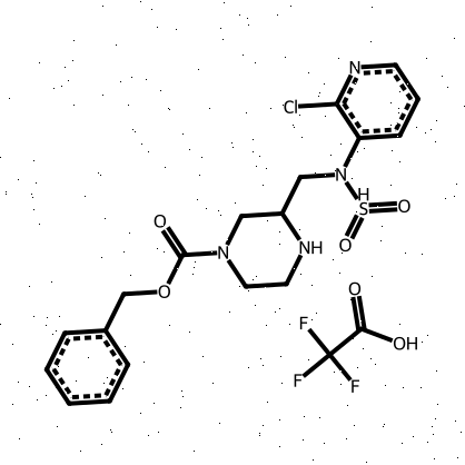 O=C(O)C(F)(F)F.O=C(OCc1ccccc1)N1CCNC(CN(c2cccnc2Cl)[SH](=O)=O)C1